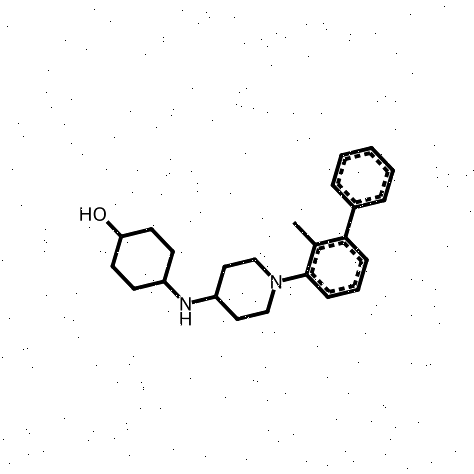 Cc1c(-c2ccccc2)cccc1N1CCC(NC2CCC(O)CC2)CC1